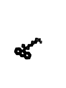 C=COCCOC(=O)c1c2ccccc2cc2ccccc12